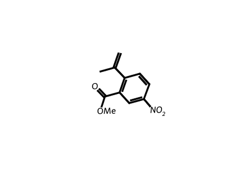 C=C(C)c1ccc([N+](=O)[O-])cc1C(=O)OC